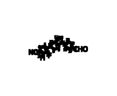 [2H]c1c(C#N)ccc(N2CCn3c(cnc3-c3ccc(C=O)cc3)C2)c1F